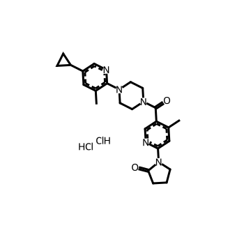 Cc1cc(N2CCCC2=O)ncc1C(=O)N1CCN(c2ncc(C3CC3)cc2C)CC1.Cl.Cl